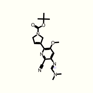 COc1cc(/N=C/N(C)C)c(C#N)nc1C1=CCN(C(=O)OC(C)(C)C)C1